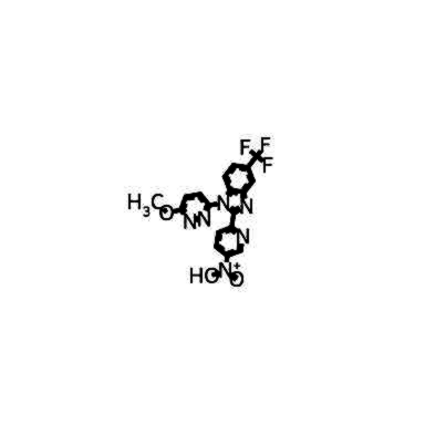 COc1ccc(-n2c(-c3ccc([N+](=O)O)cn3)nc3cc(C(F)(F)F)ccc32)nn1